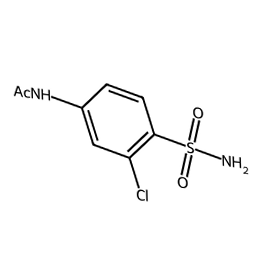 CC(=O)Nc1ccc(S(N)(=O)=O)c(Cl)c1